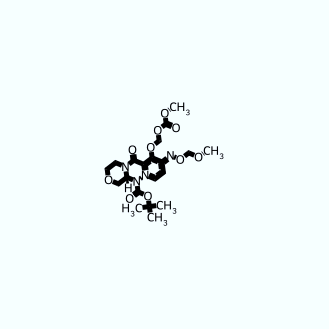 COCO/N=c1\ccn2c(c1OCOC(=O)OC)C(=O)N1CCOC[C@H]1N2C(=O)OC(C)(C)C